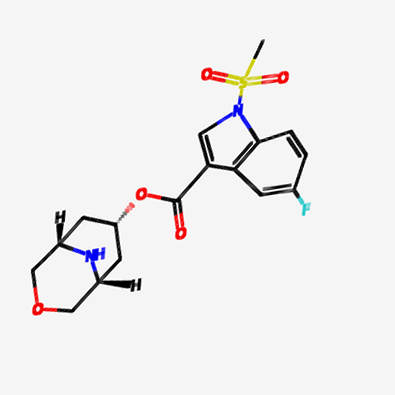 CS(=O)(=O)n1cc(C(=O)O[C@H]2C[C@H]3COC[C@@H](C2)N3)c2cc(F)ccc21